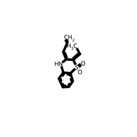 C=C/C=C1/Nc2ccccc2S(=O)(=O)/C1=C/C